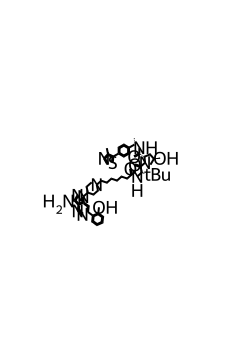 Cc1ncsc1-c1ccc([C@H](C)NC(=O)[C@@H]2C[C@@H](O)CN2C(=O)[C@@H](NC(=O)CCCCCCN2CCC(n3nc(N)c4nnc(-c5ccccc5O)cc43)CC2)C(C)(C)C)cc1